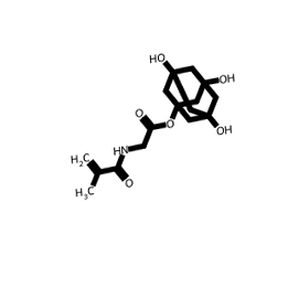 C=C(C)C(=O)NCC(=O)OC12CC3(O)CC(O)(CC(O)(C3)C1)C2